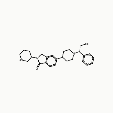 O=C1c2ccc(C3CCN([C@H](CO)c4ccccc4)CC3)cc2CN1C1CCCNC1